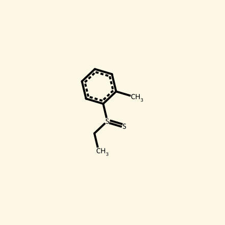 CCS(=S)c1ccccc1C